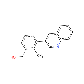 Cc1c(CO)cccc1-c1cnc2ccccc2c1